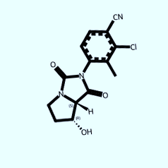 Cc1c(N2C(=O)[C@@H]3[C@H](O)CCN3C2=O)ccc(C#N)c1Cl